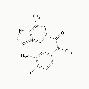 Cc1cc(N(C)C(=O)c2cn3ccnc3c(C)n2)ccc1F